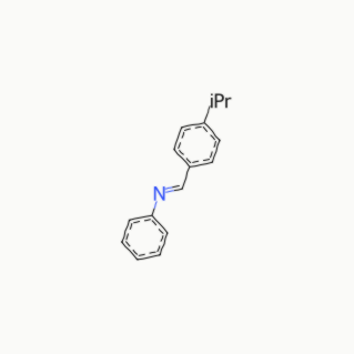 CC(C)c1ccc(/C=N/c2ccccc2)cc1